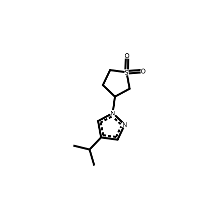 CC(C)c1cnn(C2CCS(=O)(=O)C2)c1